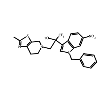 Cc1nc2c(s1)CN(CC(O)(c1cn(Cc3ccccc3)c3cc([N+](=O)[O-])ccc13)C(F)(F)F)CC2